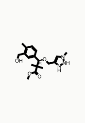 COC(=O)C(C)(C)[C@H](OCC1=CN(C)NN1)c1ccc(C)c(CO)c1